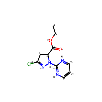 CCOC(=O)C1CC(Cl)=NN1c1ncccn1